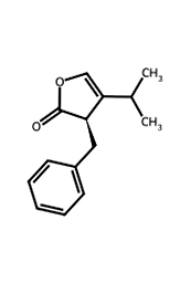 CC(C)C1=COC(=O)[C@@H]1Cc1ccccc1